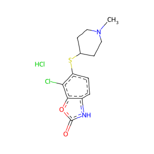 CN1CCC(Sc2ccc3[nH]c(=O)oc3c2Cl)CC1.Cl